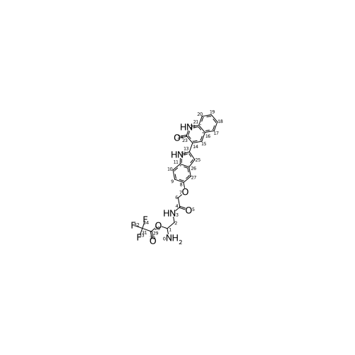 NC(CNC(=O)COc1ccc2[nH]c(-c3cc4ccccc4[nH]c3=O)cc2c1)OC(=O)C(F)(F)F